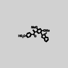 C=C(C(=O)c1ccc(C(=O)O)cc1)c1cc(-c2cc3ccccc3n2C)c(OC)cc1OC